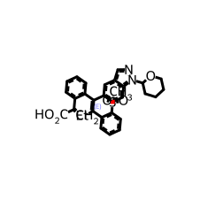 C=C(C(=O)O)c1ccccc1/C(=C(\CC)c1ccccc1S(C)(=O)=O)c1ccc2c(cnn2C2CCCCO2)c1